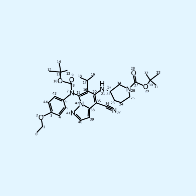 CCOc1ccc(N(C(=O)OC(C)(C)C)c2c(C(C)C)c(N[C@H]3CCCN(C(=O)OC(C)(C)C)C3)c(C#N)c3ccnn23)cc1